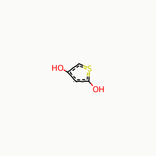 Oc1[c]c(O)sc1